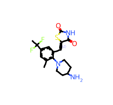 Cc1cc(C(C)(F)F)cc(/C=C2\SC(=O)NC2=O)c1N1CCC(N)CC1